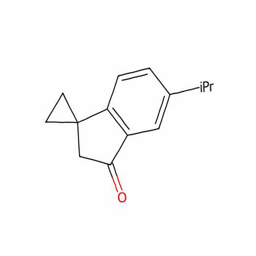 CC(C)c1ccc2c(c1)C(=O)CC21CC1